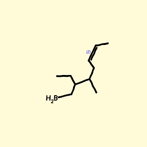 BCC(CC)C(C)C/C=C\C